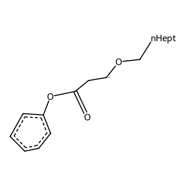 CCCCCCCCO[CH]CC(=O)Oc1ccccc1